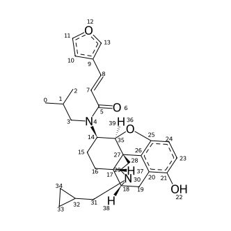 CC(C)CN(C(=O)C=Cc1ccoc1)[C@@H]1CC[C@H]2[C@H]3Cc4c(O)ccc5c4[C@@]2(CCN3CC2CC2)[C@@H]1O5